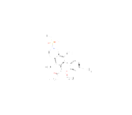 COC(=O)[C@@H](OC(C)(C)C)c1c(C)c2c(c(C)c1-c1ccc(C)cc1)CN(S(=O)(=O)CC(C)(C)C)CC2